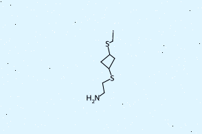 CCSC1CC(SCCN)C1